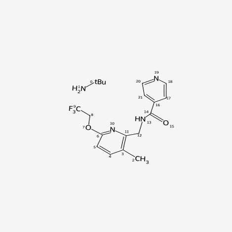 CC(C)(C)N.Cc1ccc(OCC(F)(F)F)nc1CNC(=O)c1ccncc1